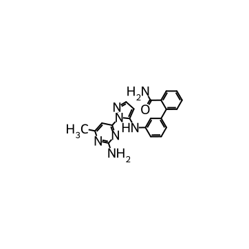 Cc1cc(-n2nccc2Nc2cccc(-c3ccccc3C(N)=O)c2)nc(N)n1